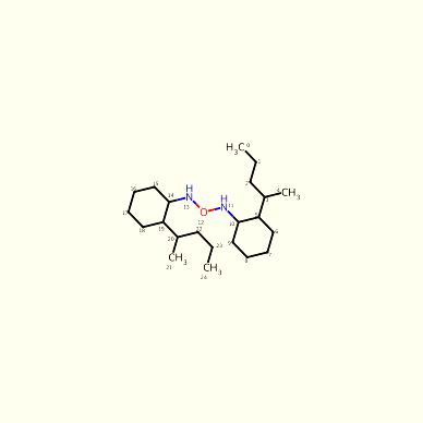 CCCC(C)C1CCCCC1NONC1CCCCC1C(C)CCC